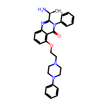 C[C@H](N)c1nc2cccc(OCCN3CCN(c4ccccc4)CC3)c2c(=O)n1-c1ccccc1